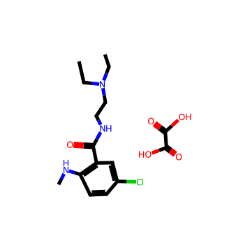 CCN(CC)CCNC(=O)c1cc(Cl)ccc1NC.O=C(O)C(=O)O